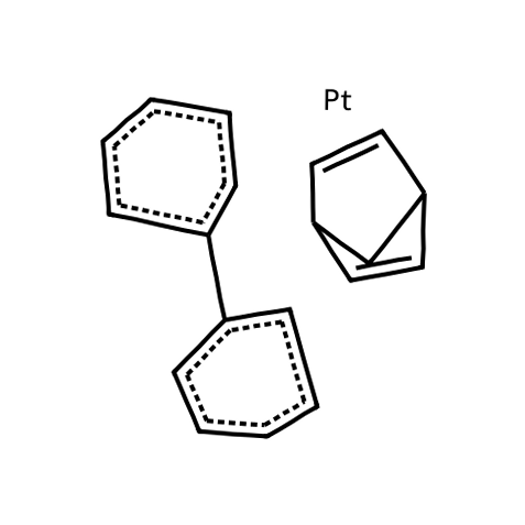 C1=CC2C=CC1C2.[Pt].c1ccc(-c2ccccc2)cc1